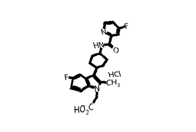 Cc1c(C2CCC(NC(=O)c3cc(F)ccn3)CC2)c2cc(F)ccc2n1CC(=O)O.Cl